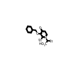 CCc1c(OCc2ccccc2)c(=O)ccn1C(CC)C(=O)O